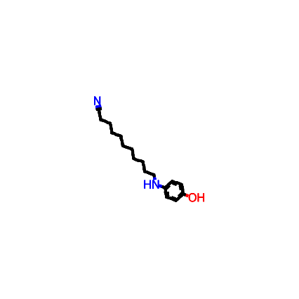 N#CCCCCCCCCCCNc1ccc(O)cc1